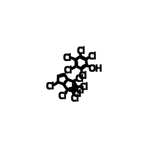 ClC1=C(Cl)C2(Cl)C3C(Cl)C=CC3C1(Cl)C2(Cl)Cl.Oc1c(Cl)c(Cl)c(Cl)c(Cl)c1Cl